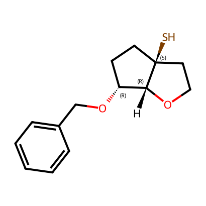 S[C@@]12CCO[C@@H]1[C@H](OCc1ccccc1)CC2